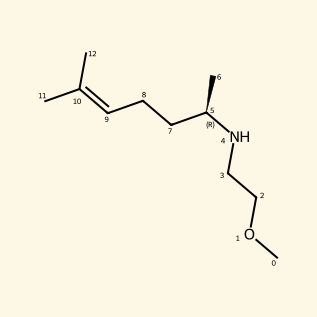 COCCN[C@H](C)CCC=C(C)C